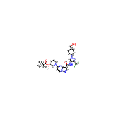 CC(C)(C)C(=O)O[C@H]1CCCN(c2ccn3ncc(C(=O)Nc4cn(C5CCC(CO)CC5)nc4C(F)F)c3n2)C1